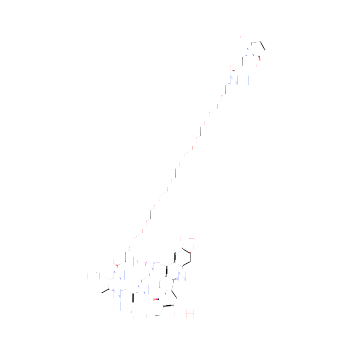 C=C(CNC(=C)C(NC(=O)CCOCCOCCOCCOCCOCCOCCOCCOCCNC(=O)CCN1C(=O)C=CC1=O)C(C)C)NCCN(O)Cc1c2c(nc3cc4c(cc13)OCO4)-c1cc(O)c(COC(C)=O)c(=O)n1C2